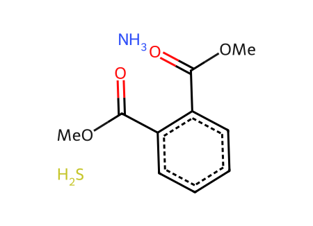 COC(=O)c1ccccc1C(=O)OC.N.S